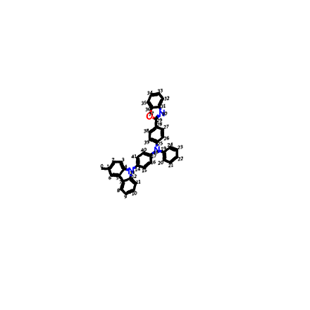 Cc1ccc2c(c1)c1ccccc1n2-c1ccc(N(c2ccccc2)c2ccc(-c3nc4ccccc4o3)cc2)cc1